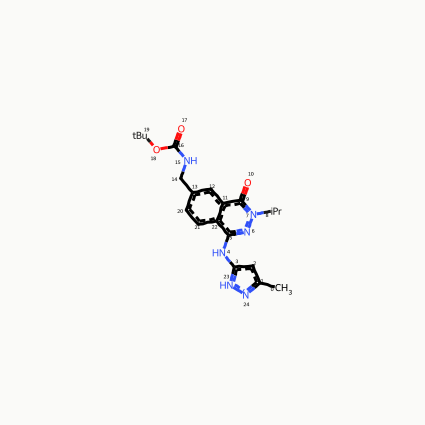 Cc1cc(Nc2nn(C(C)C)c(=O)c3cc(CNC(=O)OC(C)(C)C)ccc23)[nH]n1